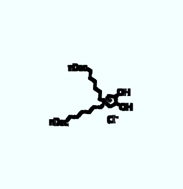 CCCCCCCCCCCCCCCC[N+]1(CCCCCCCCCCCCCCCC)CC(O)C(O)C1.[Cl-]